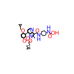 Cc1c(C(=O)N[C@H]2CC[C@H](NC(=O)O)CC2)c2nccc(-c3c(OCC4CC4)ccc4c3OCO4)c2n1COCC[Si](C)(C)C